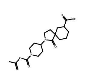 C=C(C)OC(=O)N1CCC(N2CCC3(CCCC(C(=O)O)C3)C2=O)CC1